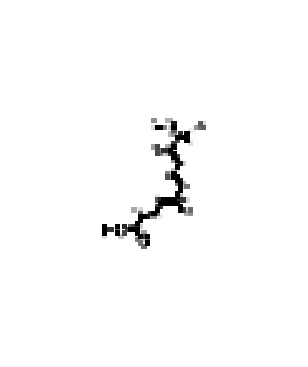 COC(OC)C(C)=CC=CC(C)=CCCC(=O)O